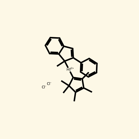 CC1=C(C)C(C)(C)[C]([Hf+2][C]2(C)C(c3ccccc3)=Cc3ccccc32)=C1C.[Cl-].[Cl-]